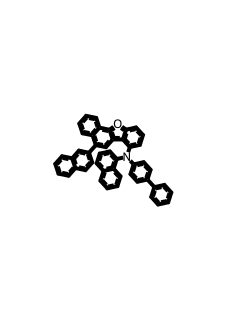 c1ccc(-c2ccc(N(c3cccc4ccccc34)c3cccc4oc5c6ccccc6c(-c6ccc7ccccc7c6)cc5c34)cc2)cc1